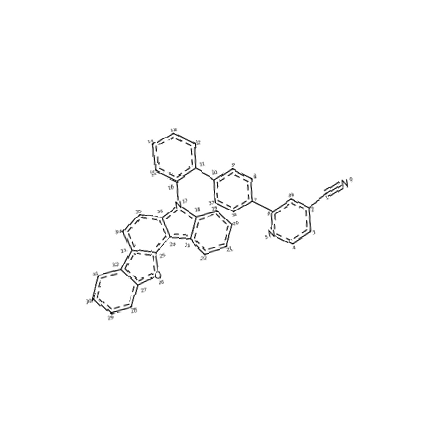 N#Cc1ccnc(-c2ccc(-c3ccccc3-n3c4ccccc4c4c5oc6ccccc6c5ccc43)cc2)c1